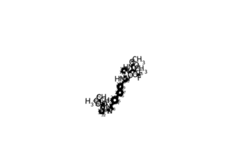 COC(=O)NC(C(=O)N1CCC[C@H]1c1ncc(-c2ccc3cc(-c4ccc(-c5cnc([C@@H]6CCCN6C(=O)OC(C)(C)C)[nH]5)cc4)ccc3c2)[nH]1)[C@@H](C)OC(F)F